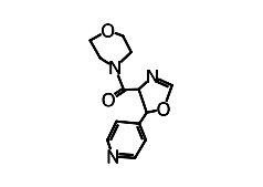 O=C(C1N=COC1c1ccncc1)N1CCOCC1